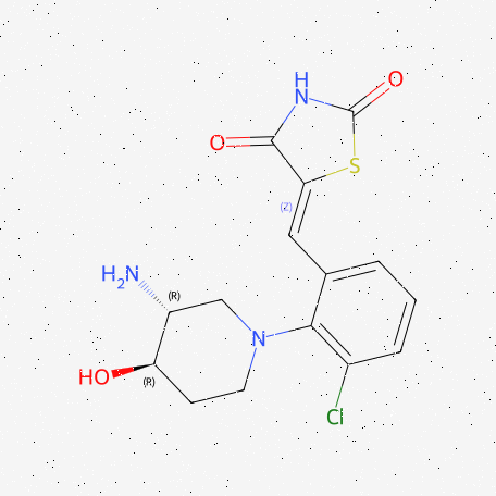 N[C@@H]1CN(c2c(Cl)cccc2/C=C2\SC(=O)NC2=O)CC[C@H]1O